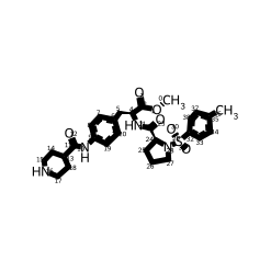 COC(=O)[C@H](Cc1ccc(NC(=O)C2CCNCC2)cc1)NC(=O)[C@@H]1CCCN1S(=O)(=O)c1ccc(C)cc1